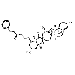 CC1=C2C[C@H]3[C@@H](CCC4=C[C@@H](O)CC[C@@]43C)[C@@H]2CC[C@@]2(C1)O[C@@H]1C[C@H](C)CN(CCNC(=O)CCc3ccccc3)[C@H]1[C@H]2C